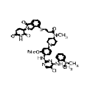 COc1cc(N2CCC(N(C)C(=O)CCSc3cccc4c3CN(C3CCC(=O)NC3=O)C4=O)CC2)ccc1Nc1ncc(Cl)c(Nc2ccccc2P(C)C)n1